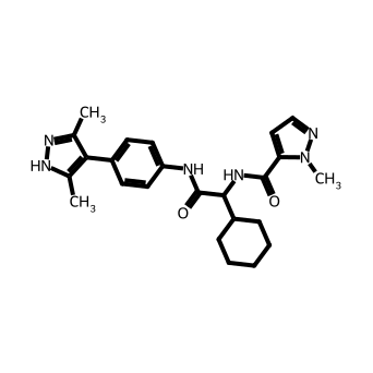 Cc1n[nH]c(C)c1-c1ccc(NC(=O)C(NC(=O)c2ccnn2C)C2CCCCC2)cc1